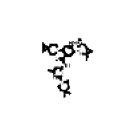 Cc1cc(NC(=O)c2ccc(NS(=O)(=O)CC3CC3(F)F)cc2N2CCC3(CC2)CC3)nc(N2CCC(F)(F)CC2)n1